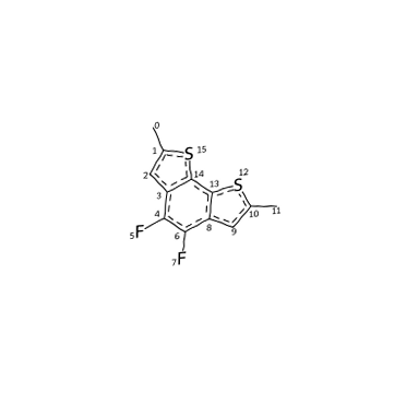 Cc1cc2c(F)c(F)c3cc(C)sc3c2s1